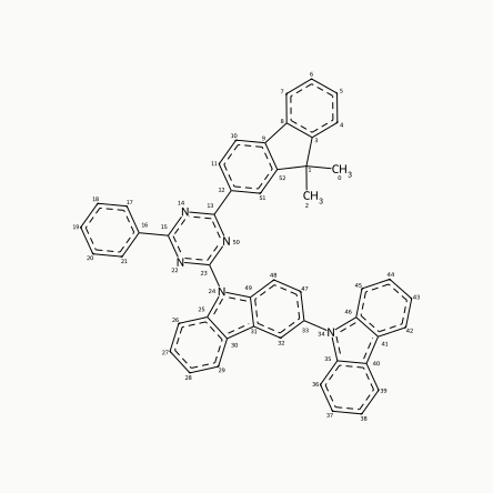 CC1(C)c2ccccc2-c2ccc(-c3nc(-c4ccccc4)nc(-n4c5ccccc5c5cc(-n6c7ccccc7c7ccccc76)ccc54)n3)cc21